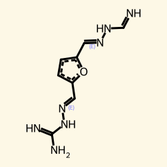 N=CN/N=C/c1ccc(/C=N/NC(=N)N)o1